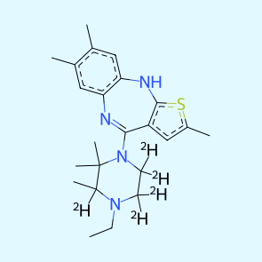 [2H]C1([2H])N(CC)C([2H])(C)C(C)(C)N(C2=Nc3cc(C)c(C)cc3Nc3sc(C)cc32)C1([2H])[2H]